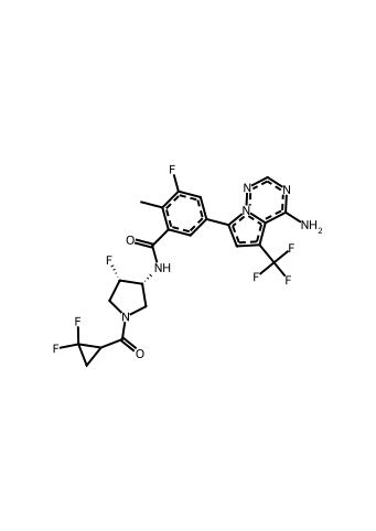 Cc1c(F)cc(-c2cc(C(F)(F)F)c3c(N)ncnn23)cc1C(=O)N[C@@H]1CN(C(=O)C2CC2(F)F)C[C@@H]1F